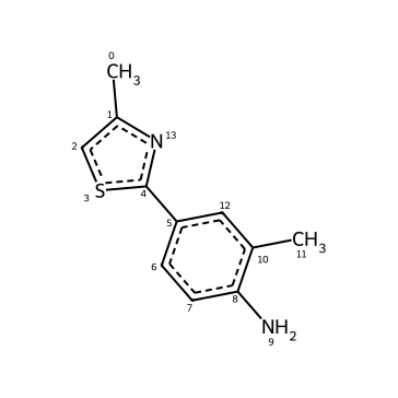 Cc1csc(-c2ccc(N)c(C)c2)n1